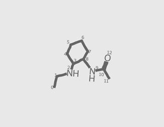 CCNC1CCCCC1NC(C)=O